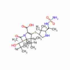 [2H]C(C)(C)[C@@](C)(O)[C@@]1(C)C(=O)N2C(C(=O)O)=C(S[C@]3(C)CN[C@H](C(C)NS(N)(=O)=O)C3(C)C)[C@]([2H])(C([2H])([2H])C)[C@@]21C